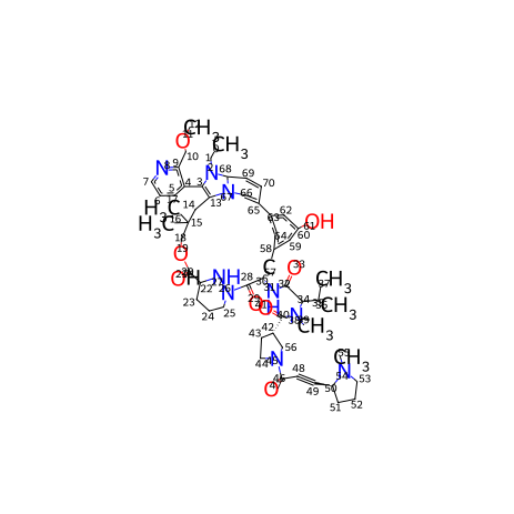 CCN1C(c2cccnc2COC)=C2CC(C)(C)COC(=O)[C@@H]3CCCN(N3)C(=O)[C@@H](NC(=O)C(C(C)C)N(C)C(=O)[C@H]3CCN(C(=O)C#C[C@@H]4CCCN4C)C3)Cc3cc(O)cc(c3)C3=CN2C1C=C3